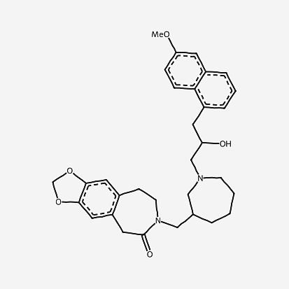 COc1ccc2c(CC(O)CN3CCCCC(CN4CCc5cc6c(cc5CC4=O)OCO6)C3)cccc2c1